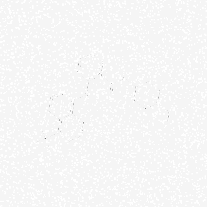 CCN1CCC(NC(=O)c2ccccc2Nc2ccnc3c(C(F)(F)F)cccc23)CC1